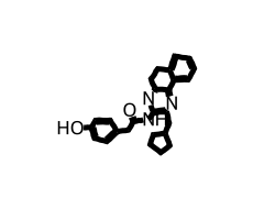 O=C(Cc1ccc(O)cc1)Nc1nc2c(nc1CC1CCCC1)-c1ccccc1CC2